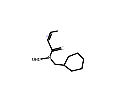 C/C=C\C(=O)N(C=O)CC1CCCCC1